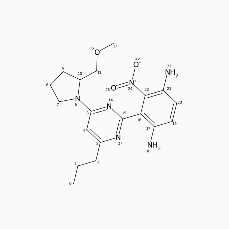 CCCc1cc(N2CCCC2COC)nc(-c2c(N)ccc(N)c2[N+](=O)[O-])n1